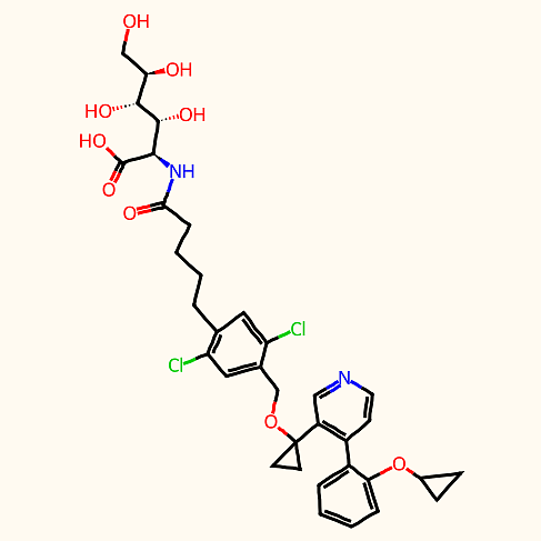 O=C(CCCCc1cc(Cl)c(COC2(c3cnccc3-c3ccccc3OC3CC3)CC2)cc1Cl)N[C@@H](C(=O)O)[C@@H](O)[C@H](O)[C@H](O)CO